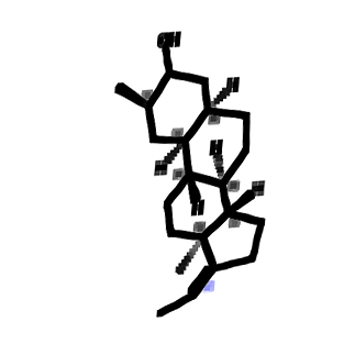 C/C=C1/CC[C@H]2[C@@H]3CC[C@@H]4CC(O)[C@H](C)C[C@@H]4[C@H]3CC[C@]12C